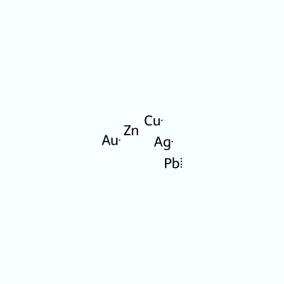 [Ag].[Au].[Cu].[Pb].[Zn]